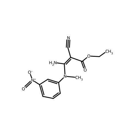 CCOC(=O)/C(C#N)=C(/N)N(C)c1cccc([N+](=O)[O-])c1